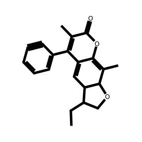 CCC1COC2C(C)=c3oc(=O)c(C)c(-c4c#cccc4)c3=CC12